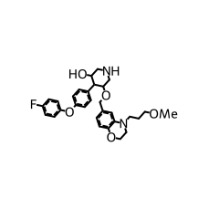 COCCCN1CCOc2ccc(COC3CNCC(O)C3c3ccc(Oc4ccc(F)cc4)cc3)cc21